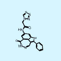 O=C(Cn1cnnn1)Nc1cc2c3c(c(-c4ccccc4)[nH]c3c1)C=NNC2=O